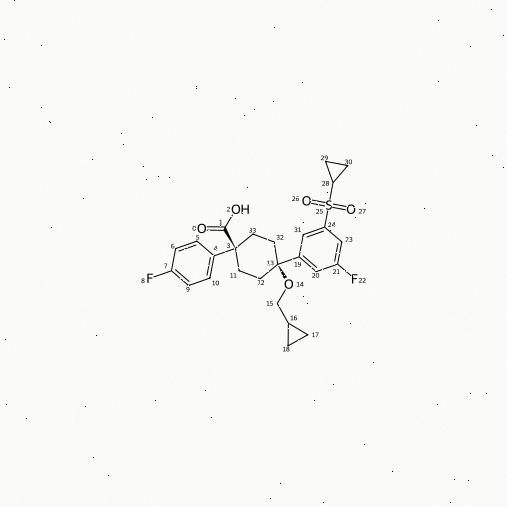 O=C(O)[C@]1(c2ccc(F)cc2)CC[C@@](OCC2CC2)(c2cc(F)cc(S(=O)(=O)C3CC3)c2)CC1